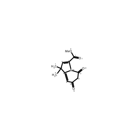 COC(=O)C1=CC(C)(C)C2=CC(=O)CC(=O)N12